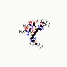 CC(=O)N[C@@H](CSC(CC(=O)CC(SC[C@H](NC(C)=O)C(=O)O)c1cncc(OC(C)(C)C)n1)c1cncc(OC(C)(C)C)n1)C(=O)O